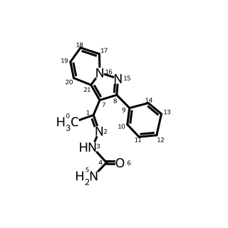 C/C(=N\NC(N)=O)c1c(-c2ccccc2)nn2ccccc12